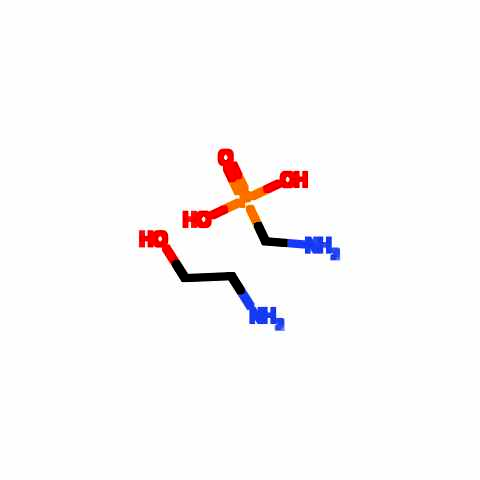 NCCO.NCP(=O)(O)O